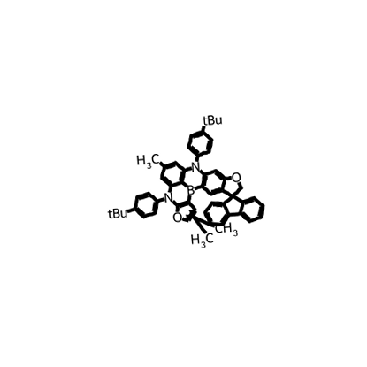 Cc1cc2c3c(c1)N(c1ccc(C(C)(C)C)cc1)c1oc4c(c1B3c1cc3c(cc1N2c1ccc(C(C)(C)C)cc1)OCC31c2ccccc2-c2ccccc21)CC(C)(C)C4